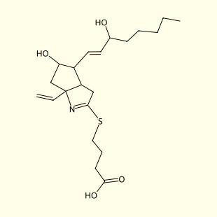 C=CC12CC(O)C(C=CC(O)CCCCC)C1CC(SCCCC(=O)O)=N2